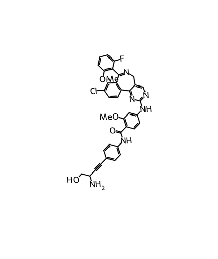 COc1cc(Nc2ncc3c(n2)-c2ccc(Cl)cc2C(c2c(F)cccc2OC)=NC3)ccc1C(=O)Nc1ccc(C#CC(N)CO)cc1